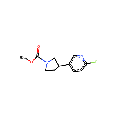 CC(C)(C)OC(=O)N1CCC(c2ccc(F)nc2)C1